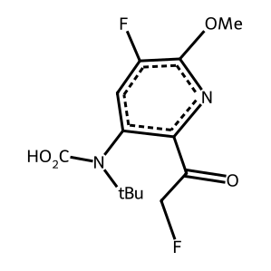 COc1nc(C(=O)CF)c(N(C(=O)O)C(C)(C)C)cc1F